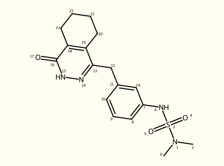 CN(C)S(=O)(=O)Nc1cccc(Cc2n[nH]c(=O)c3c2CCCC3)c1